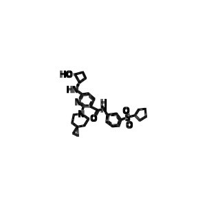 O=C(Nc1cccc(S(=O)(=O)C2CCCC2)c1)c1ccc(N[C@@H]2CC[C@H]2O)nc1N1CCC2(CC1)CC2